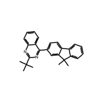 CC(C)(C)c1nc(-c2ccc3c(c2)C(C)(C)c2ccccc2-3)c2ccccc2n1